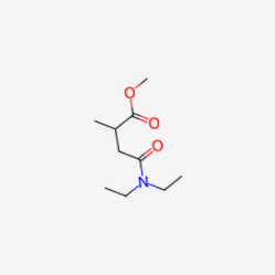 CCN(CC)C(=O)CC(C)C(=O)OC